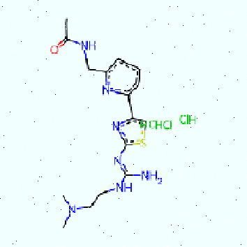 CC(=O)NCc1cccc(-c2csc(/N=C(\N)NCCN(C)C)n2)n1.Cl.Cl.Cl